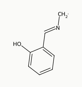 [CH2]N=Cc1ccccc1O